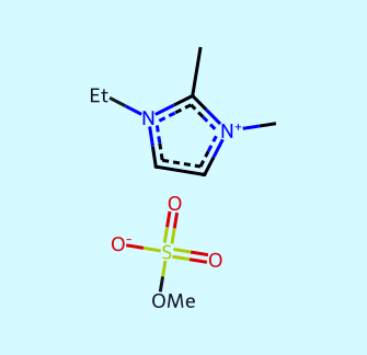 CCn1cc[n+](C)c1C.COS(=O)(=O)[O-]